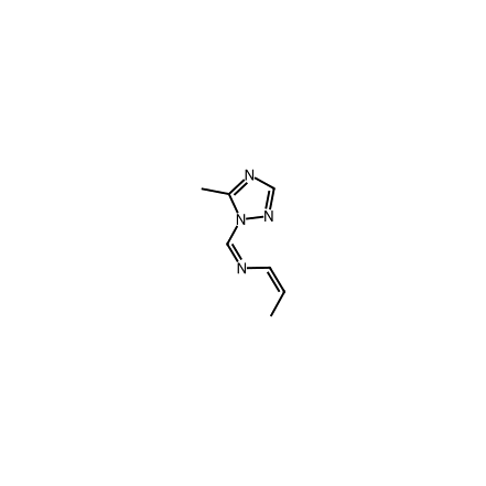 C/C=C\N=C/n1ncnc1C